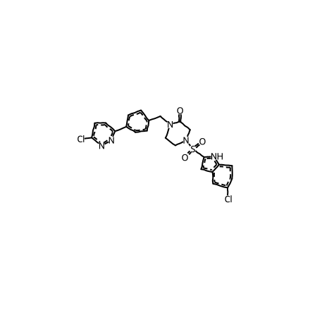 O=C1CN(S(=O)(=O)c2cc3cc(Cl)ccc3[nH]2)CCN1Cc1ccc(-c2ccc(Cl)nn2)cc1